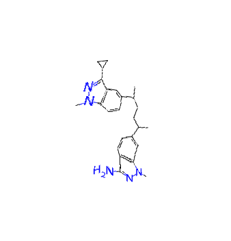 CC(CCC(C)c1ccc2c(N)nn(C)c2c1)c1ccc2c(c1)c(C1CC1)nn2C